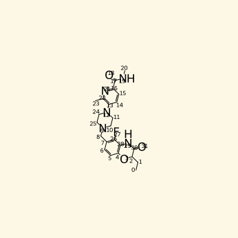 CCC1Oc2ccc(CN3CCN(c4ccc(C(=O)NC)nc4C)CC3)c(F)c2NC1=O